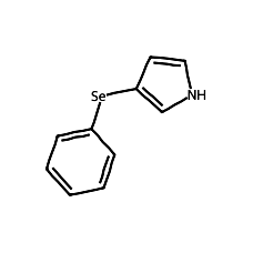 c1ccc([Se]c2cc[nH]c2)cc1